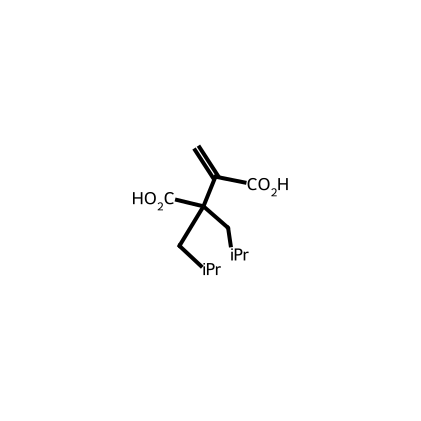 C=C(C(=O)O)C(CC(C)C)(CC(C)C)C(=O)O